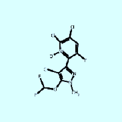 Cn1nc(-c2c(F)cc(Cl)c(Cl)[n+]2[O-])c(Cl)c1OC(F)F